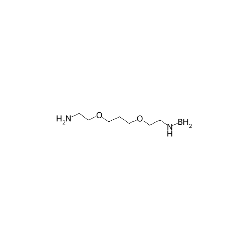 BNCCOCCCOCCN